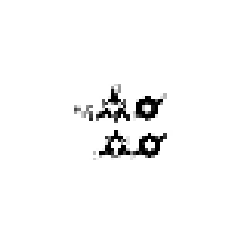 Fc1ccc(Oc2nc(Cl)nc(Cl)n2)cc1.Fc1ccc(Oc2nc(Cl)nc(Cl)n2)cc1.O